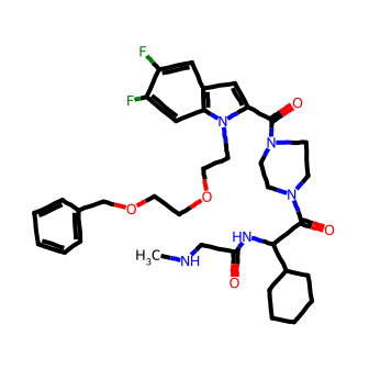 CNCC(=O)NC(C(=O)N1CCN(C(=O)c2cc3cc(F)c(F)cc3n2CCOCCOCc2ccccc2)CC1)C1CCCCC1